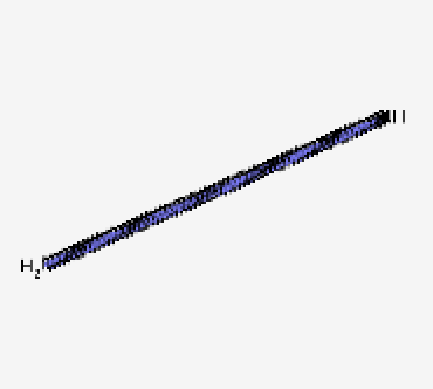 N=N/N=N/N=N/N=N/N=N/N=N/N=N/N=N/N=N/N=N/N=N/N=N/N=N/N=N/N=N/N=N/N=N/N=N/N=N/N=N/N=N/N=N/N=N/N=N/N=N/N=N/N=N/N=N/N=N/N=N/N=N/N=N/N=N/N=N/N=N/N=N/N=N/N=N/N=N/N=N/N=N/N=N/N=N/N=N/N=N/N=N/N=N/N=N/N=N/N=N/N=N/N=N/N=N/N=N/N=N/N=N/N=N/N=N/N=N/N=N/N=N/N=N/N=N/N=N/N=N/N=N/N=N/N=N/N=N/N=N/N